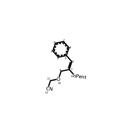 CCCCCC(=Cc1ccccc1)COCC#N